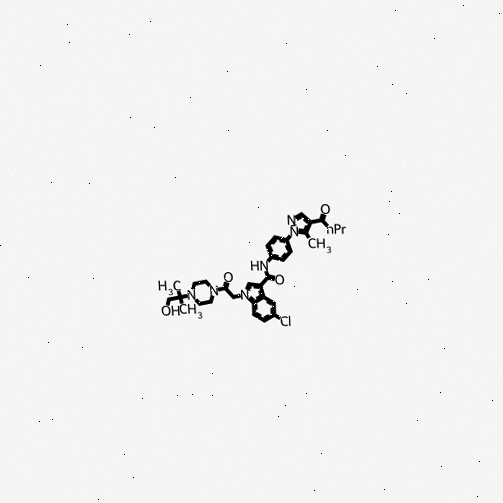 CCCC(=O)c1cnn(-c2ccc(NC(=O)c3cn(CC(=O)N4CCN(C(C)(C)CO)CC4)c4ccc(Cl)cc34)cc2)c1C